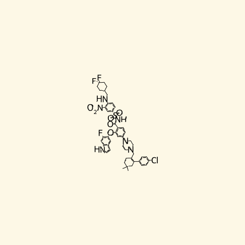 CC1(C)CCC(CN2CCN(c3ccc(C(=O)NS(=O)(=O)c4ccc(NCC5CCC(F)(F)CC5)c([N+](=O)[O-])c4)c(Oc4cc5cc[nH]c5cc4F)c3)CC2)=C(c2ccc(Cl)cc2)C1